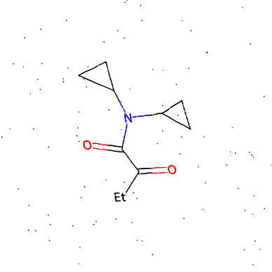 CCC(=O)C(=O)N(C1CC1)C1CC1